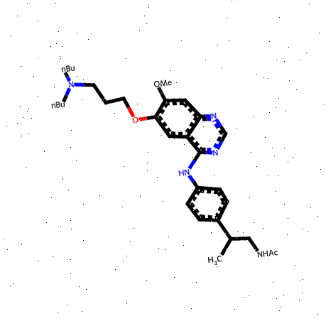 CCCCN(CCCC)CCCOc1cc2c(Nc3ccc(C(C)CNC(C)=O)cc3)ncnc2cc1OC